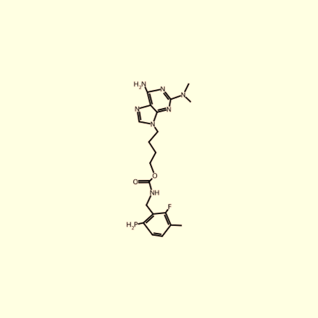 Cc1ccc(P)c(CNC(=O)OCCCCn2cnc3c(N)nc(N(C)C)nc32)c1F